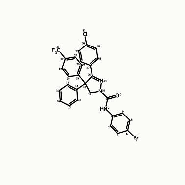 O=C(Nc1ccc(Br)cc1)N1CC(c2ccccc2)(c2ccc(C(F)(F)F)cc2)C(c2ccc(Cl)cc2)=N1